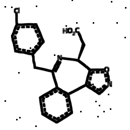 O=C(O)C[C@@H]1N=C(Cc2ccc(Cl)cc2)c2ccccc2-c2cnoc21